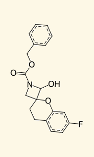 O=C(OCc1ccccc1)N1CC2(CCc3ccc(F)cc3O2)C1O